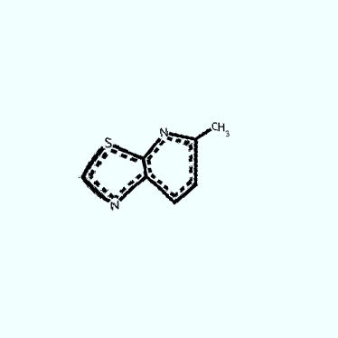 Cc1ccc2n[c]sc2n1